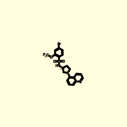 O=S(=O)(N[C@H]1CCN(c2cccc3ncccc23)C1)c1ccc(Br)cc1OC(F)(F)F